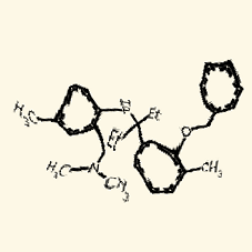 CCC(CC)(Pc1ccc(C)cc1CN(C)C)c1cccc(C)c1OCc1ccccc1